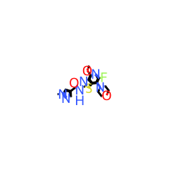 COc1nc(F)c(N2CCOCC2)c2sc(NC(=O)c3cnn(C)c3)nc12